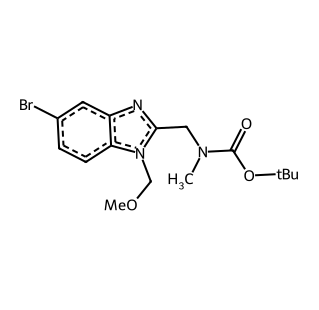 COCn1c(CN(C)C(=O)OC(C)(C)C)nc2cc(Br)ccc21